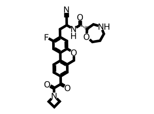 N#CC(Cc1cc2c(cc1F)-c1ccc(C(=O)C(=O)N3CCC3)cc1CO2)NC(=O)[C@@H]1CNCCCO1